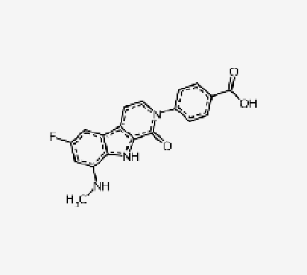 CNc1cc(F)cc2c1[nH]c1c(=O)n(-c3ccc(C(=O)O)cc3)ccc12